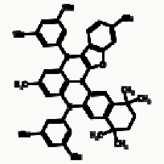 Cc1cc2c3c(c1)N(c1cc(C(C)(C)C)cc(C(C)(C)C)c1)c1c(oc4cc(C(C)(C)C)ccc14)B3c1cc3c(cc1N2c1cc(C(C)(C)C)cc(C(C)(C)C)c1)C(C)(C)CCC3(C)C